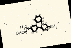 CN(CC=O)c1ccc(C2=CN=C(N)CN2c2ccccc2)cc1